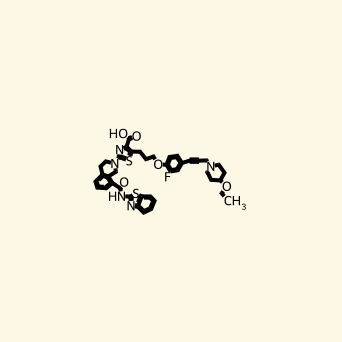 CCOC1CCN(CC#Cc2ccc(OCCCc3sc(N4CCc5cccc(C(=O)Nc6nc7ccccc7s6)c5C4)nc3C(=O)O)c(F)c2)CC1